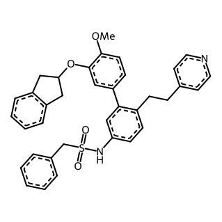 COc1ccc(-c2cc(NS(=O)(=O)Cc3ccccc3)ccc2CCc2ccncc2)cc1OC1Cc2ccccc2C1